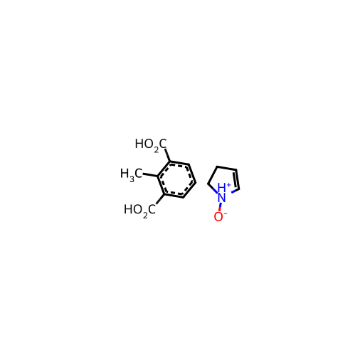 Cc1c(C(=O)O)cccc1C(=O)O.[O-][NH+]1C=CCC1